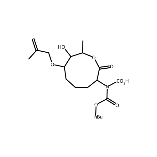 C=C(C)COC1CCCC(N(C(=O)O)C(=O)OCCCC)C(=O)OC(C)C1O